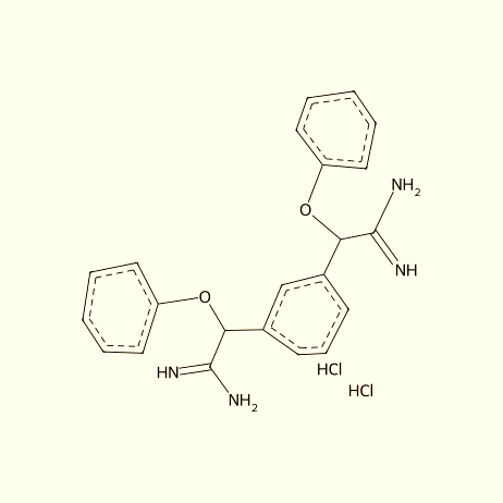 Cl.Cl.N=C(N)C(Oc1ccccc1)c1cccc(C(Oc2ccccc2)C(=N)N)c1